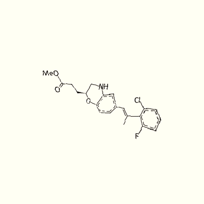 COC(=O)CC[C@H]1CNc2cc(/C=C(\C)c3c(F)cccc3Cl)ccc2O1